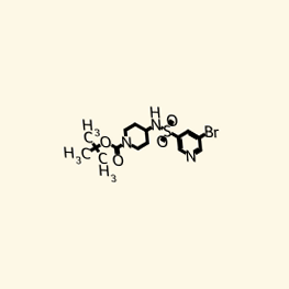 CC(C)(C)OC(=O)N1CCC(NS(=O)(=O)c2cncc(Br)c2)CC1